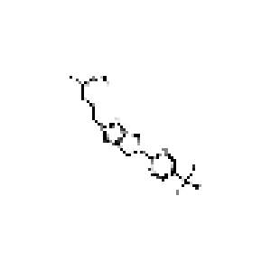 C[C@H](N)CCCn1cc2c(n1)CN(c1ncc(C(F)(F)F)cn1)C2